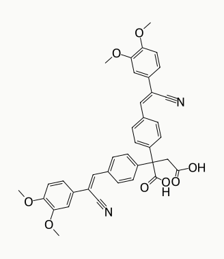 COc1ccc(/C(C#N)=C/c2ccc(C(CC(=O)O)(C(=O)O)c3ccc(/C=C(\C#N)c4ccc(OC)c(OC)c4)cc3)cc2)cc1OC